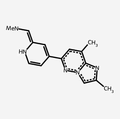 CN/C=C1/C=C(c2cc(C)c3nc(C)cn3n2)C=CN1